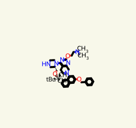 CN(C)CCOc1nc2c(c(N3CCNC[C@H]3CO[Si](C)(C)C(C)(C)C)n1)CCN(c1cc(OCc3ccccc3)cc3ccccc13)C2